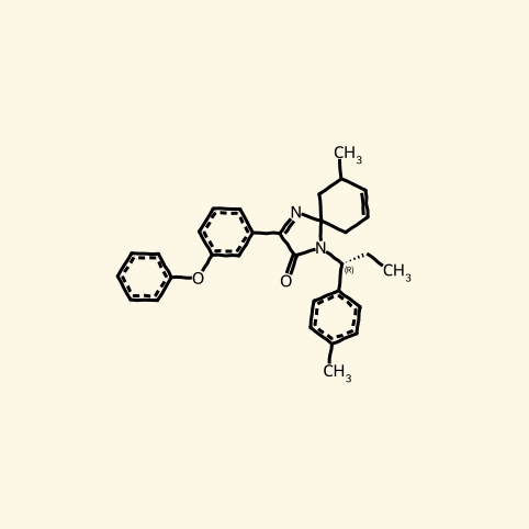 CC[C@H](c1ccc(C)cc1)N1C(=O)C(c2cccc(Oc3ccccc3)c2)=NC12CC=CC(C)C2